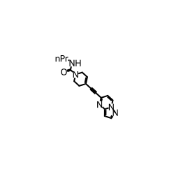 CCCNC(=O)N1CC=C(C#Cc2ccn3nccc3n2)CC1